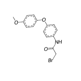 COc1ccc(Oc2ccc(NC(=O)CBr)cc2)cc1